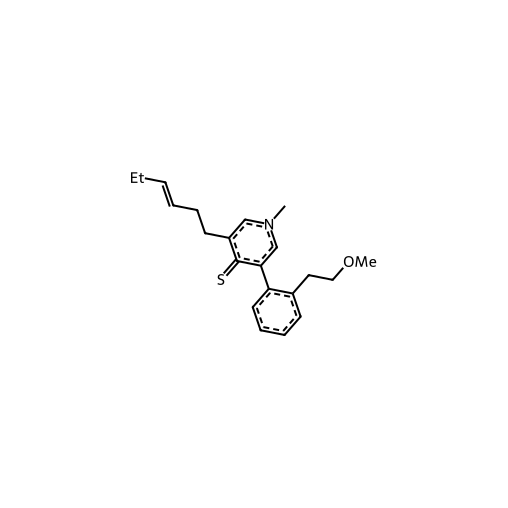 CCC=CCCc1cn(C)cc(-c2ccccc2CCOC)c1=S